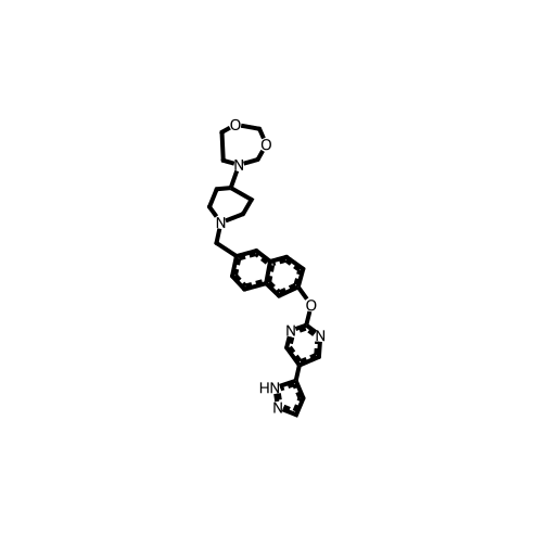 c1cc(-c2cnc(Oc3ccc4cc(CN5CCC(N6CCOCOC6)CC5)ccc4c3)nc2)[nH]n1